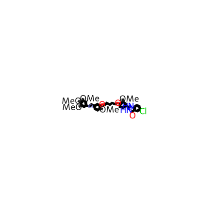 COc1cc(C2NC(=O)c3cc(Cl)ccc3N2)ccc1OCCCCCOc1cc(/C=C/c2cc(OC)c(OC)c(OC)c2)ccc1OC